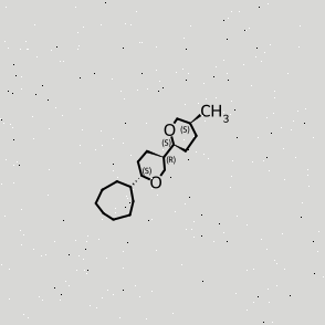 C[C@H]1CC[C@@H]([C@@H]2CC[C@@H](C3CCCCCCC3)OC2)OC1